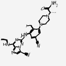 CCNc1nc(Nc2cc(C#N)cc(N3CCN([C@@H](C)C(N)=O)CC3)c2CI)nn2c(C#N)cnc12